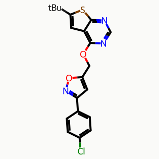 CC(C)(C)c1cc2c(OCc3cc(-c4ccc(Cl)cc4)no3)ncnc2s1